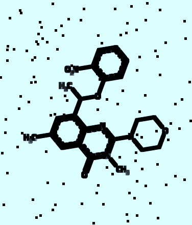 Cc1cc(C(C)Oc2ccccc2[N+](=O)[O-])c2nc(N3CCOCC3)n(C)c(=O)c2c1